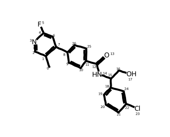 Cc1cnc(F)cc1-c1ccc(C(=O)NC(CO)c2cccc(Cl)c2)cc1